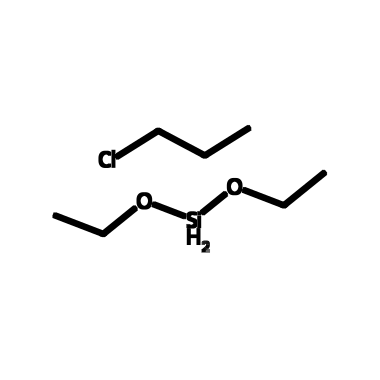 CCCCl.CCO[SiH2]OCC